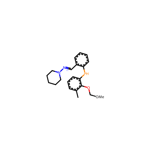 COCOc1c(C)cccc1Pc1ccccc1/C=N/N1CCCCC1